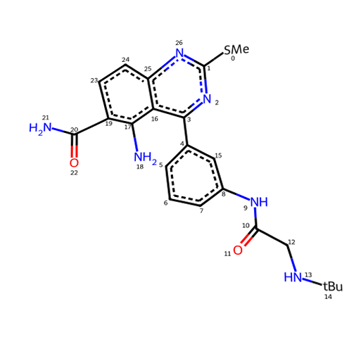 CSc1nc(-c2cccc(NC(=O)CNC(C)(C)C)c2)c2c(N)c(C(N)=O)ccc2n1